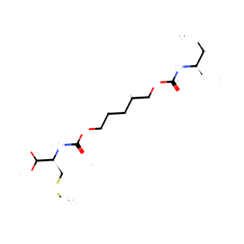 CSC[C@H](NC(=O)OCCCCCOC(=O)N[C@@H](CSSC)C(O)O)C(=O)O